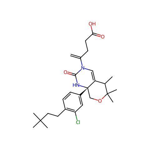 C=C(CCC(=O)O)N1C=C2C(C)C(C)(C)OC[C@]2(c2ccc(CCC(C)(C)C)c(Cl)c2)NC1=O